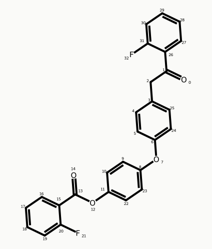 O=C(Cc1ccc(Oc2ccc(OC(=O)c3ccccc3F)cc2)cc1)c1ccccc1F